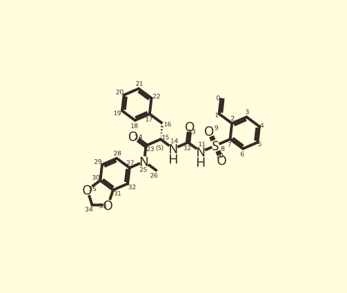 C=Cc1ccccc1S(=O)(=O)NC(=O)N[C@@H](Cc1ccccc1)C(=O)N(C)c1ccc2c(c1)OCO2